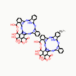 O=C(O)c1cccc2c1-c1nc-2nc2[nH]c(nc3nc(nc4[nH]c(n1)c1c(C(=O)O)c(C(=O)O)c(C(=O)O)c(C(=O)[O-])c41)-c1ccccc1-3)c1ccccc21.O=C(O)c1cccc2c1-c1nc-2nc2[nH]c(nc3nc(nc4[nH]c(n1)c1c(C(=O)O)c(C(=O)O)c(C(=O)O)c(C(=O)[O-])c41)-c1ccccc1-3)c1ccccc21.[Pb+2]